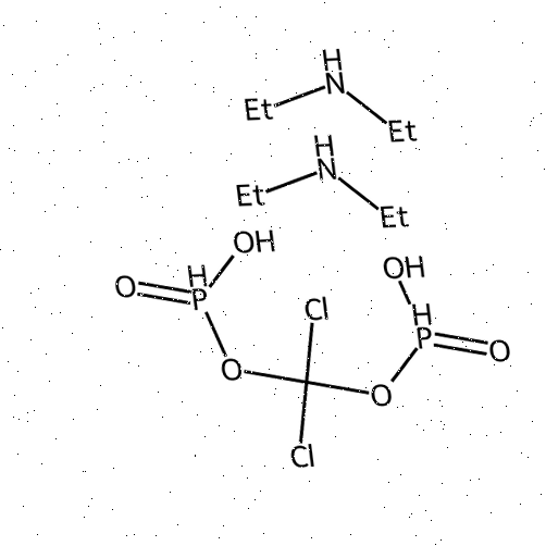 CCNCC.CCNCC.O=[PH](O)OC(Cl)(Cl)O[PH](=O)O